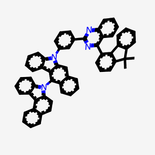 CC1(C)c2ccccc2-c2c(-c3nc(-c4cccc(-n5c6ccccc6c6c(-n7c8ccccc8c8c9ccccc9ccc87)c7ccccc7cc65)c4)nc4ccccc34)cccc21